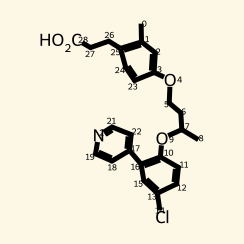 Cc1cc(OCCC(C)Oc2ccc(Cl)cc2-c2ccncc2)ccc1CCC(=O)O